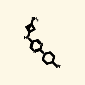 CC(C)C1CCN(c2ncc(NC34CC(N)(C3)C4)cn2)CC1